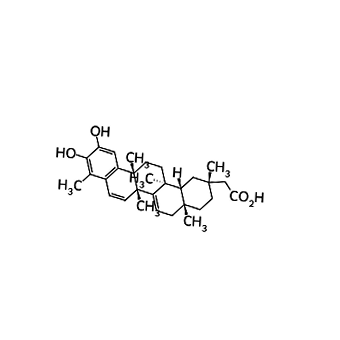 Cc1c(O)c(O)cc2c1C=C[C@@]1(C)C3=CC[C@@]4(C)CC[C@@](C)(CC(=O)O)C[C@H]4[C@]3(C)CC[C@@]21C